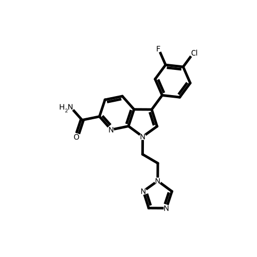 NC(=O)c1ccc2c(-c3ccc(Cl)c(F)c3)cn(CCn3cncn3)c2n1